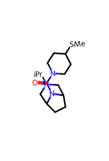 CSC1CCN(C(=O)N2C3CCC2CN(C(C)C)C3)CC1